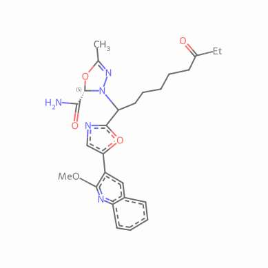 CCC(=O)CCCCCC(c1ncc(-c2cc3ccccc3nc2OC)o1)N1N=C(C)O[C@H]1C(N)=O